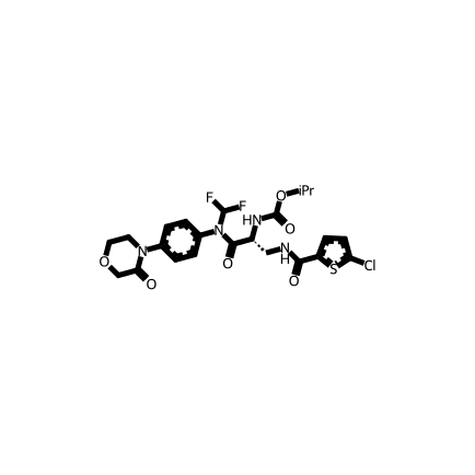 CC(C)OC(=O)N[C@H](CNC(=O)c1ccc(Cl)s1)C(=O)N(c1ccc(N2CCOCC2=O)cc1)C(F)F